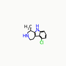 CC1CNCCc2c1[nH]c1cccc(Cl)c21